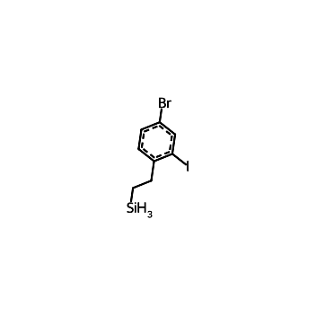 [SiH3]CCc1ccc(Br)cc1I